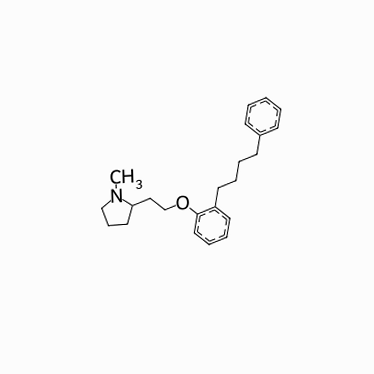 CN1CCCC1CCOc1ccccc1CCCCc1ccccc1